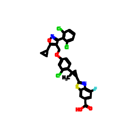 CC1(c2ccc(OCc3c(-c4c(Cl)cccc4Cl)noc3C3CC3)cc2Cl)CC1c1nc2c(F)cc(C(=O)O)cc2s1